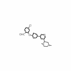 CN1CCN(C)C(c2cncc(-c3ccc(Oc4cc(Cl)ccc4C=O)cc3)c2)C1